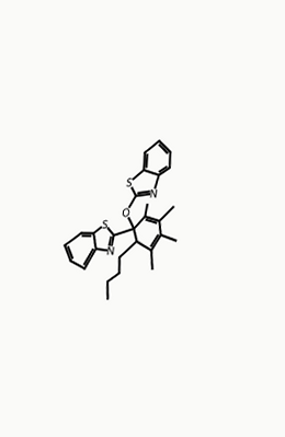 CCCCC1C(C)=C(C)C(C)=C(C)C1(Oc1nc2ccccc2s1)c1nc2ccccc2s1